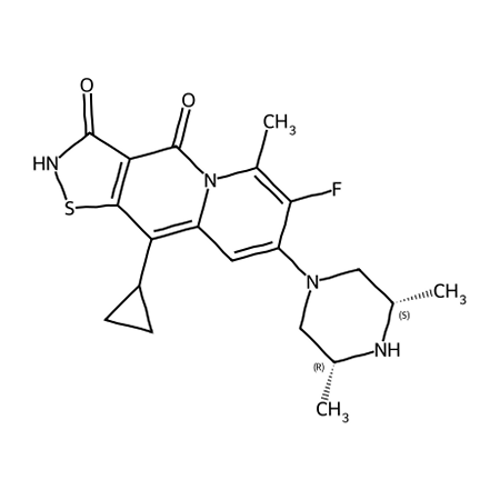 Cc1c(F)c(N2C[C@@H](C)N[C@@H](C)C2)cc2c(C3CC3)c3s[nH]c(=O)c3c(=O)n12